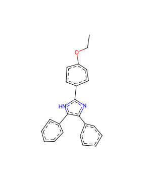 CCOc1ccc(-c2nc(-c3ccccc3)c(-c3ccccc3)[nH]2)cc1